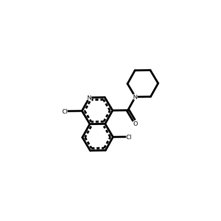 O=C(c1cnc(Cl)c2cccc(Cl)c12)N1CCCCC1